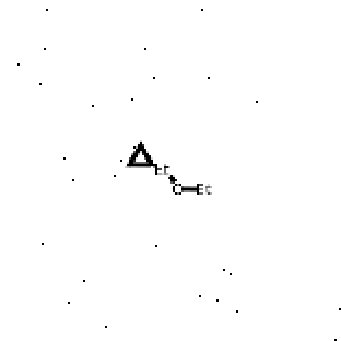 C1CC1.CCOCC